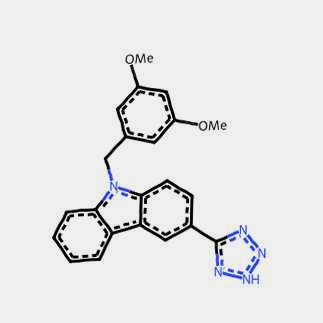 COc1cc(Cn2c3ccccc3c3cc(-c4nn[nH]n4)ccc32)cc(OC)c1